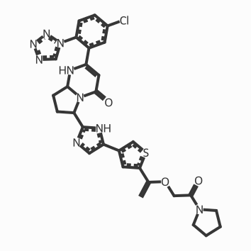 C=C(OCC(=O)N1CCCC1)c1cc(-c2cnc(C3CCC4NC(c5cc(Cl)ccc5-n5cnnn5)=CC(=O)N43)[nH]2)cs1